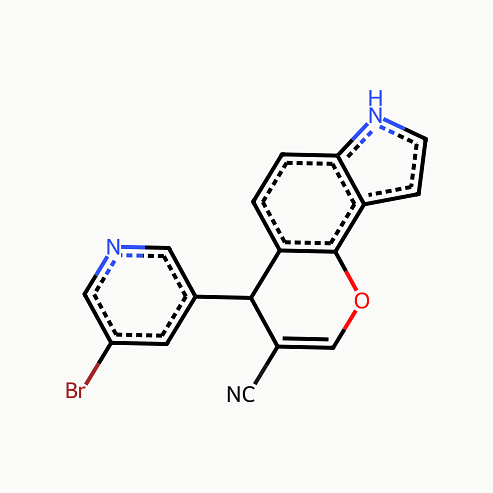 N#CC1=COc2c(ccc3[nH]ccc23)C1c1cncc(Br)c1